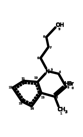 Br.CC1=CCN(CCCO)c2ccccc21